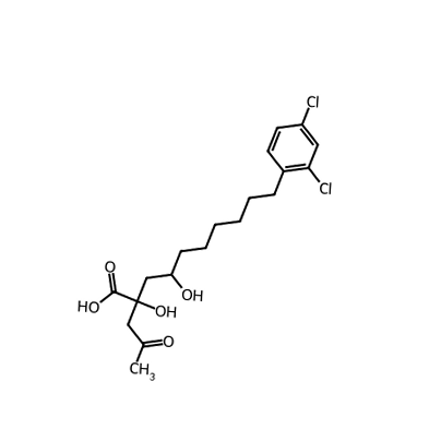 CC(=O)CC(O)(CC(O)CCCCCCc1ccc(Cl)cc1Cl)C(=O)O